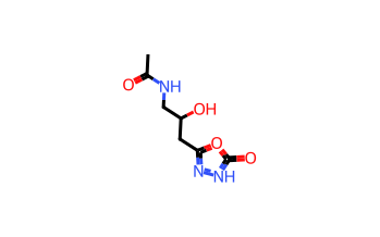 CC(=O)NCC(O)Cc1n[nH]c(=O)o1